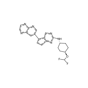 FC(F)O[C@H]1CC[C@H](Nc2ncc3c(-c4cnc5nccnc5c4)ccn3n2)CC1